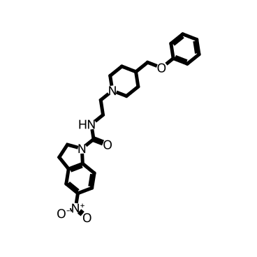 O=C(NCCN1CCC(COc2ccccc2)CC1)N1CCc2cc([N+](=O)[O-])ccc21